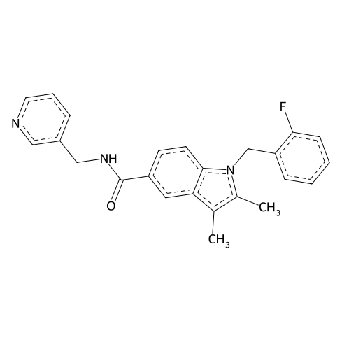 Cc1c(C)n(Cc2ccccc2F)c2ccc(C(=O)NCc3cccnc3)cc12